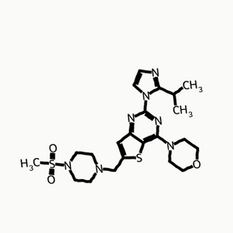 CC(C)c1nccn1-c1nc(N2CCOCC2)c2sc(CN3CCN(S(C)(=O)=O)CC3)cc2n1